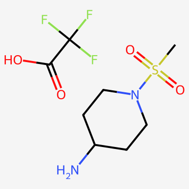 CS(=O)(=O)N1CCC(N)CC1.O=C(O)C(F)(F)F